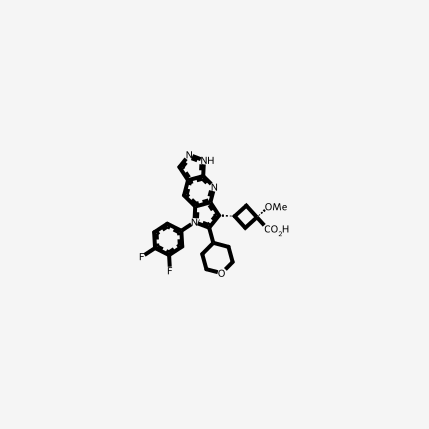 CO[C@]1(C(=O)O)C[C@H](c2c(C3CCOCC3)n(-c3ccc(F)c(F)c3)c3cc4cn[nH]c4nc32)C1